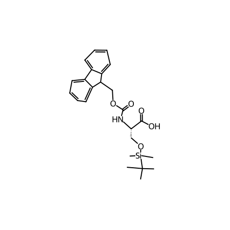 CC(C)(C)[Si](C)(C)OC[C@H](NC(=O)OCC1c2ccccc2-c2ccccc21)C(=O)O